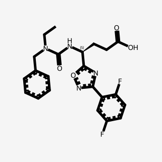 CCN(Cc1ccccc1)C(=O)N[C@@H](CCC(=O)O)c1nc(-c2cc(F)ccc2F)no1